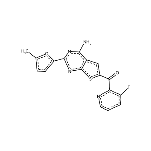 Cc1ccc(-c2nc(N)c3cc(C(=O)c4ncccc4F)sc3n2)o1